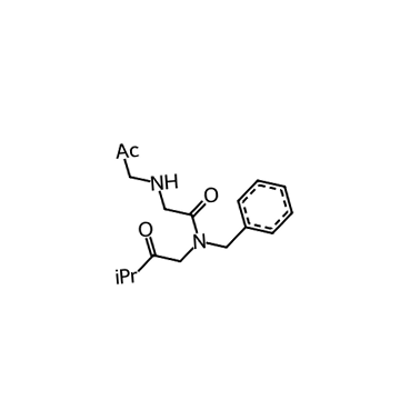 CC(=O)CNCC(=O)N(CC(=O)C(C)C)Cc1ccccc1